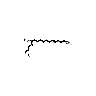 CCCC/C=C/CCCCCCC(C)[N]CCCC